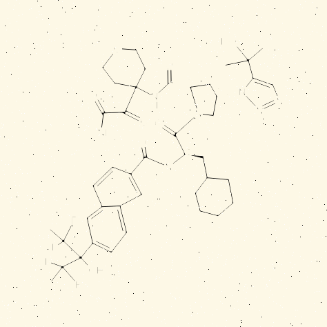 CC(C)(O)c1cnnn1[C@H]1C[C@@H](C(=O)NC2(C(=O)C(N)=O)CCOCC2)N(C(=O)[C@@H](CC2CCCCC2)NC(=O)c2ccc3cc(C(O)(C(F)(F)F)C(F)(F)F)ccc3c2)C1